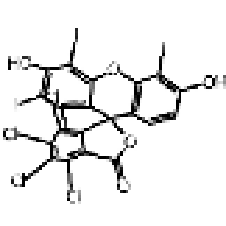 O=C1OC2(c3ccc(O)c(I)c3Oc3c(I)c(O)c(I)c(I)c32)c2c(Cl)c(Cl)c(Cl)c(Cl)c21